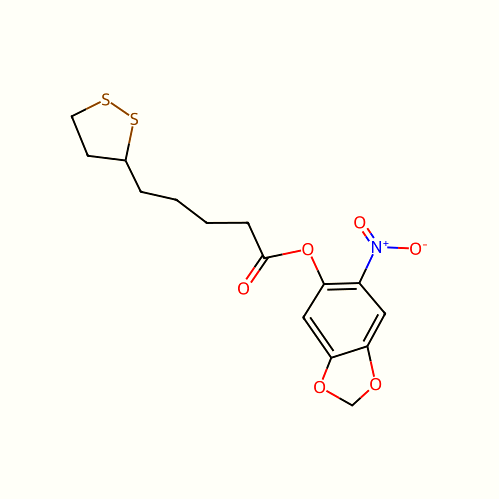 O=C(CCCCC1CCSS1)Oc1cc2c(cc1[N+](=O)[O-])OCO2